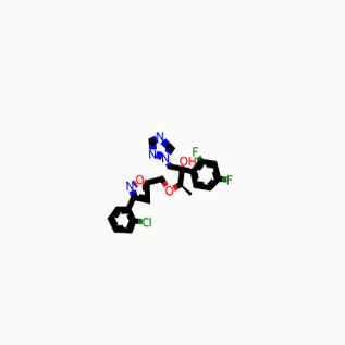 C[C@@H](OCc1cc(-c2ccccc2Cl)no1)[C@](O)(Cn1cncn1)c1ccc(F)cc1F